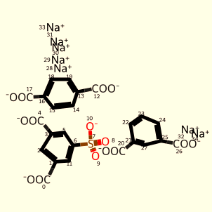 O=C([O-])c1cc(C(=O)[O-])cc(S(=O)(=O)[O-])c1.O=C([O-])c1ccc(C(=O)[O-])cc1.O=C([O-])c1cccc(C(=O)[O-])c1.[Na+].[Na+].[Na+].[Na+].[Na+].[Na+].[Na+]